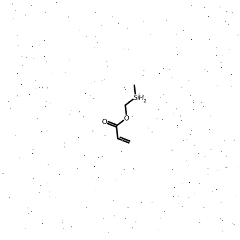 C=CC(=O)OC[SiH2]C